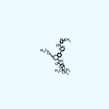 CCOCCN1CCC(NC(=O)c2nnc(C(C)(C)C)o2)c2ccc(-c3ccnc(Nc4cnn(C)c4)n3)cc2C1